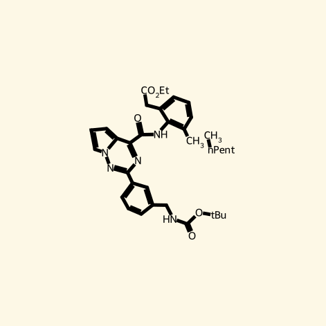 CCCCCC.CCOC(=O)Cc1cccc(C)c1NC(=O)c1nc(-c2cccc(CNC(=O)OC(C)(C)C)c2)nn2cccc12